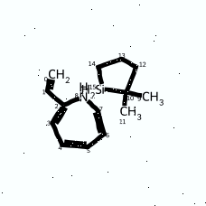 C=CC1=CC=CC=CN1.CC1(C)CCC[SiH2]1